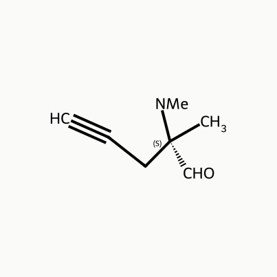 C#CC[C@@](C)(C=O)NC